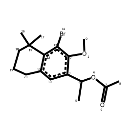 COc1c(C(C)OC(C)=O)cc2c(c1Br)C(C)(C)CCC2